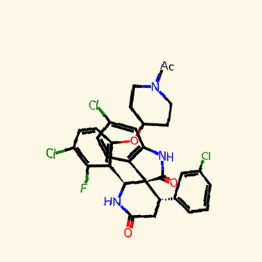 CC(=O)N1CCC(Oc2ccc(Cl)c(F)c2[C@@H]2NC(=O)C[C@@H](c3cccc(Cl)c3)[C@]23C(=O)Nc2cc(Cl)ccc23)CC1